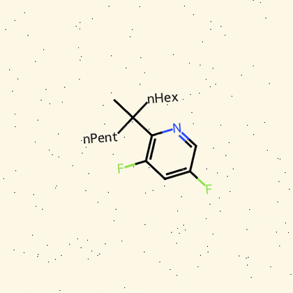 CCCCCCC(C)(CCCCC)c1ncc(F)cc1F